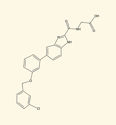 O=C(O)CNC(=O)c1nc2cc(-c3cccc(OCc4cccc(Cl)c4)c3)ccc2[nH]1